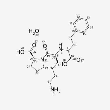 NCCCC[C@H](NC(CCc1ccccc1)C(=O)O)C(=O)N1CCC[C@H]1C(=O)O.O